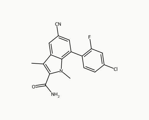 Cc1c(C(N)=O)n(C)c2c(-c3ccc(Cl)cc3F)cc(C#N)cc12